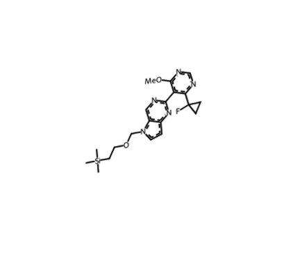 COc1ncnc(C2(F)CC2)c1-c1ncc2c(ccn2COCC[Si](C)(C)C)n1